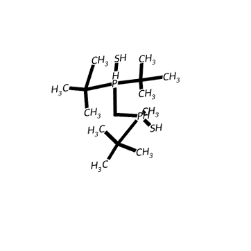 CC(C)(C)[PH](C)(S)C[PH](S)(C(C)(C)C)C(C)(C)C